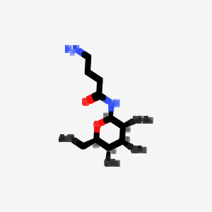 CC(=O)N[C@H]1[C@@H](OC(C)=O)[C@H](OC(C)=O)[C@@H](COC(C)=O)O[C@H]1NC(=O)CCCN